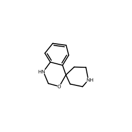 c1ccc2c(c1)NCOC21CCNCC1